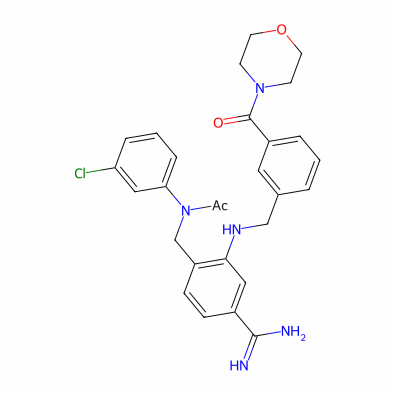 CC(=O)N(Cc1ccc(C(=N)N)cc1NCc1cccc(C(=O)N2CCOCC2)c1)c1cccc(Cl)c1